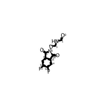 O=CNCON1C(=O)c2cc(F)c(F)cc2C1=O